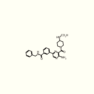 Nc1ncc(-c2cccc(C(=O)NCc3ccccc3)c2)nc1C(=O)N1CCC(NC(=O)O)CC1